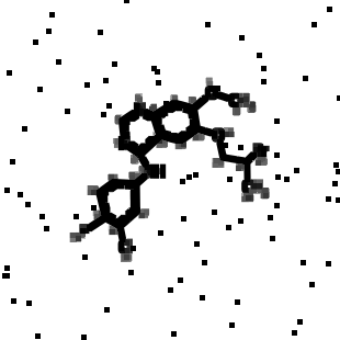 COc1cc2ncnc(Nc3ccc(F)c(Cl)c3)c2cc1OCC(C)Br